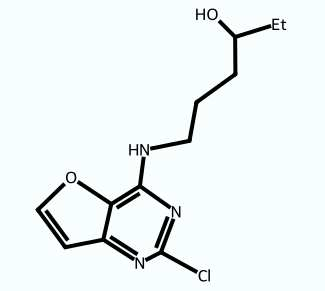 CCC(O)CCCNc1nc(Cl)nc2ccoc12